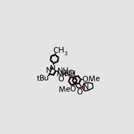 COc1cc(OC)c(C(=O)N2C3CCC2CC(Cc2ccc(NC(=O)Nc4cc(C(C)(C)C)nn4-c4ccc(C)cc4)cc2)C3)c(OC)c1